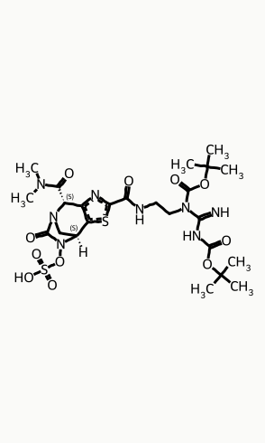 CN(C)C(=O)[C@@H]1c2nc(C(=O)NCCN(C(=N)NC(=O)OC(C)(C)C)C(=O)OC(C)(C)C)sc2[C@@H]2CN1C(=O)N2OS(=O)(=O)O